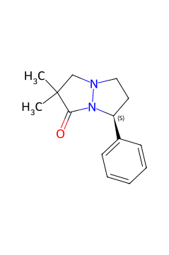 CC1(C)CN2CC[C@@H](c3ccccc3)N2C1=O